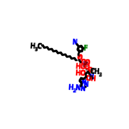 CCCCCCCCCCCCCCCCC[C@@H](COP(=O)(O)OC[C@@](C#N)(OC)[C@@H](O)[C@@H](O)c1ccc2c(N)ncnn12)OCc1cc(F)cc(C#N)c1